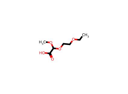 CCOCCOC(OC)C(=O)O